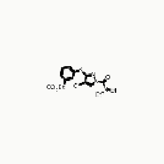 CCOC(=O)c1cccc(Sc2nn(C(=O)N(CC)CC)cc2Cl)c1